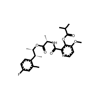 COc1ccnc(C(=O)N[C@@H](C)C(=O)O[C@@H](C)[C@H](C)c2ccc(F)cc2C)c1OC(=O)C(C)C